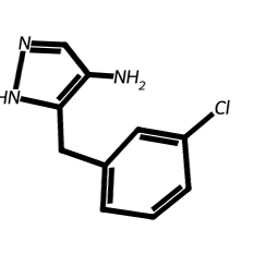 Nc1cn[nH]c1Cc1cccc(Cl)c1